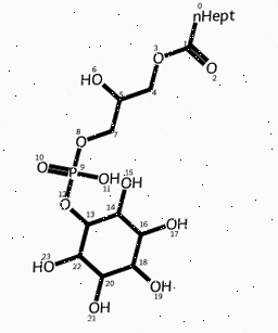 CCCCCCCC(=O)OCC(O)COP(=O)(O)OC1C(O)C(O)C(O)C(O)C1O